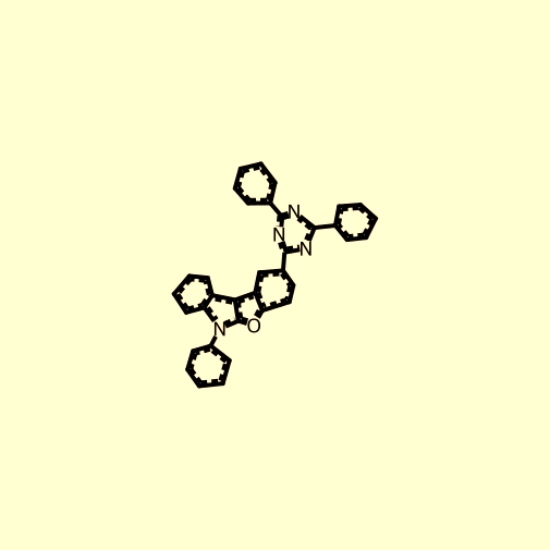 c1ccc(-c2nc(-c3ccccc3)nc(-c3ccc4oc5c(c4c3)c3ccccc3n5-c3ccccc3)n2)cc1